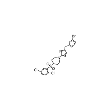 O=S(=O)(c1cc(Cl)ccc1Cl)C1CCN(c2nc(Cc3cccc(Br)c3)cs2)CC1